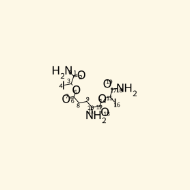 NC(=O)C(I)OC(=O)CC[C@H](N)C(=O)OC(I)C(N)=O